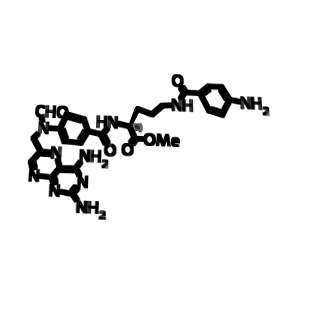 COC(=O)[C@H](CCCNC(=O)c1ccc(N)cc1)NC(=O)c1ccc(N(C=O)Cc2cnc3nc(N)nc(N)c3n2)cc1